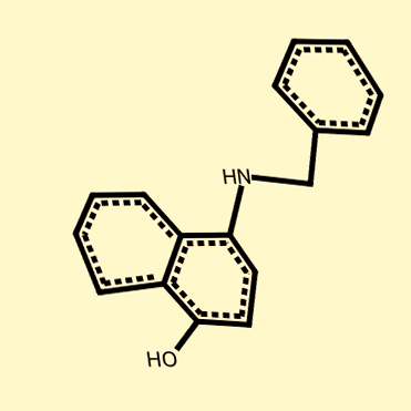 Oc1ccc(NCc2ccccc2)c2ccccc12